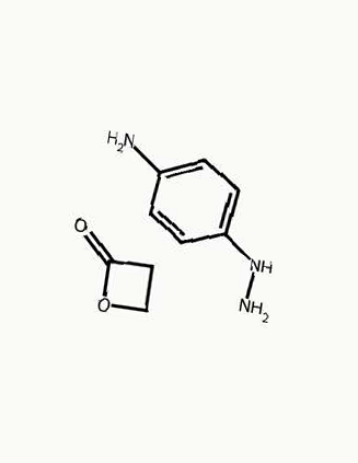 NNc1ccc(N)cc1.O=C1CCO1